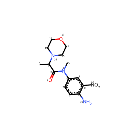 CC(C(=O)N(C)c1ccc(N)c([N+](=O)[O-])c1)N1CCOCC1